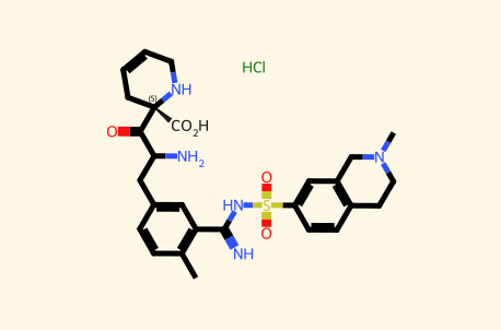 Cc1ccc(CC(N)C(=O)[C@]2(C(=O)O)CC=CCN2)cc1C(=N)NS(=O)(=O)c1ccc2c(c1)CN(C)CC2.Cl